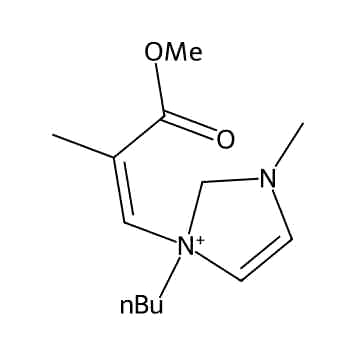 CCCC[N+]1(C=C(C)C(=O)OC)C=CN(C)C1